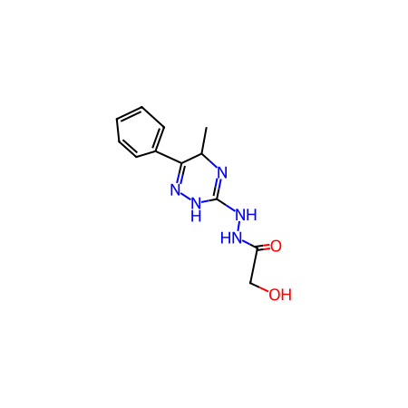 CC1N=C(NNC(=O)CO)NN=C1c1ccccc1